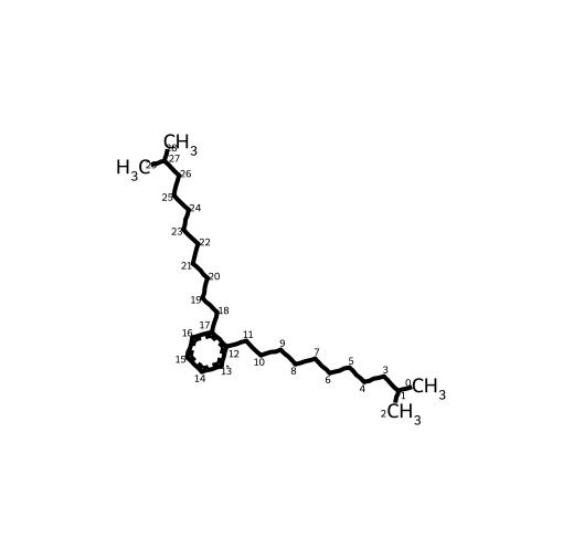 CC(C)CCCCCCCCCc1[c]cccc1CCCCCCCCCC(C)C